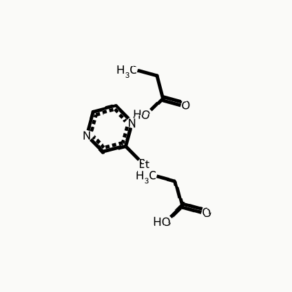 CCC(=O)O.CCC(=O)O.CCc1cnccn1